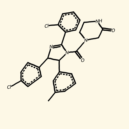 Cc1cccc(C2C(c3ccc(Cl)cc3)N=C(c3ccccc3Cl)N2C(=O)N2CCNC(=O)C2)c1